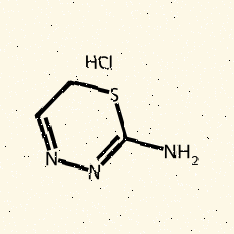 Cl.NC1=NN=CCS1